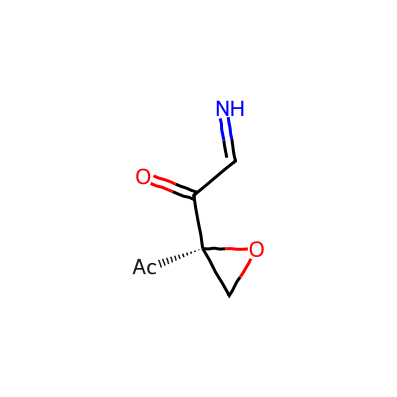 CC(=O)[C@@]1(C(=O)C=N)CO1